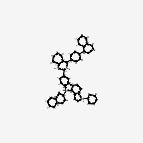 c1ccc(-n2ccc3c2ccc2c4cc(-c5nc(-c6ccc(-c7cccc8ccccc78)cc6)c6ccccc6n5)ccc4n(-c4ccc5ccccc5c4)c23)cc1